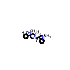 C=C(N1CCC(c2ccccc2)(N(C)C)CC1)C(C)(CNC)c1ccccc1